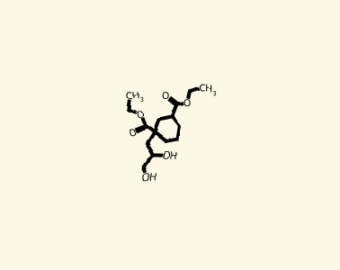 CCOC(=O)C1CCCC(CC(O)CO)(C(=O)OCC)C1